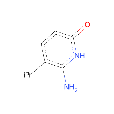 CC(C)c1ccc(=O)[nH]c1N